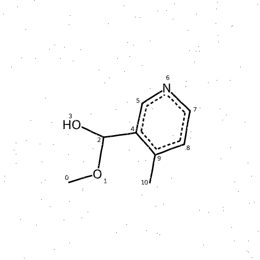 COC(O)c1cnccc1C